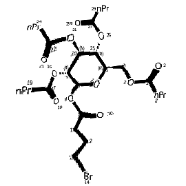 CCCC(=O)OC[C@H]1OC(OC(=O)CCCBr)[C@H](OC(=O)CCC)[C@@H](OC(=O)CCC)[C@@H]1OC(=O)CCC